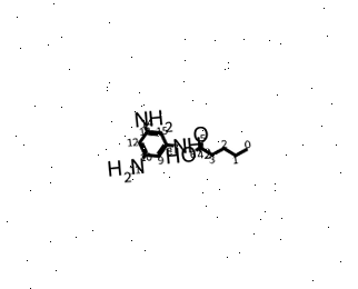 CCCCC(=O)O.Nc1cc(N)cc(N)c1